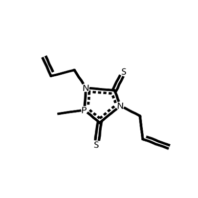 C=CCn1c(=S)n(CC=C)p(C)c1=S